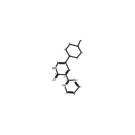 CC1CCC(c2c[nH]c(=O)c(-c3ncccn3)c2)CC1